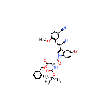 COc1ccc(C#N)cc1/C=C(\C#N)c1cn(C(=O)C[C@H](NC(=O)OC(C)(C)C)C(=O)OCc2ccccc2)c2ccc(Br)cc12